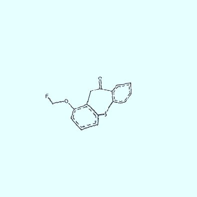 O=C1Cc2c(OCF)cccc2Sc2ccccc21